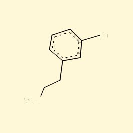 COCCc1cccc(C(C)C)c1